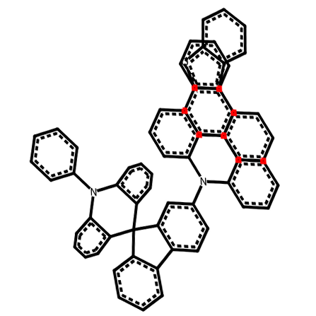 c1ccc(-c2ccccc2-c2ccccc2N(c2ccc3c(c2)C2(c4ccccc4-3)c3ccccc3N(c3ccccc3)c3ccccc32)c2ccccc2-c2ccc3oc4ccccc4c3c2)cc1